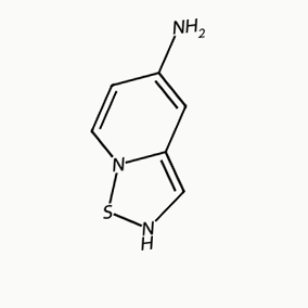 NC1=CC2=CNSN2C=C1